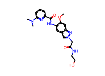 COc1cc2nn(CC(=O)NCCO)cc2cc1NC(=O)c1cccc(N(C)C)n1